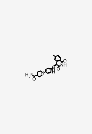 NC(=O)C1CCN(c2ccc(N/C=C3\C(=O)NC(=O)c4ccc(I)cc43)cc2)CC1